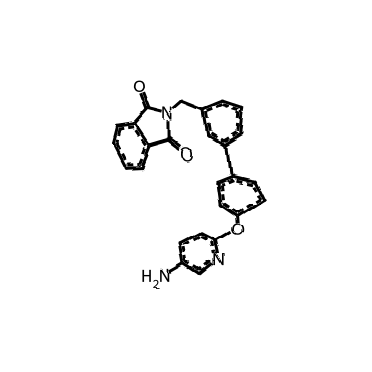 Nc1ccc(Oc2ccc(-c3cccc(CN4C(=O)c5ccccc5C4=O)c3)cc2)nc1